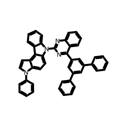 c1ccc(-c2cc(-c3ccccc3)cc(-c3nc(-n4c5ccccc5c5c6ccn(-c7ccccc7)c6ccc54)nc4ccccc34)c2)cc1